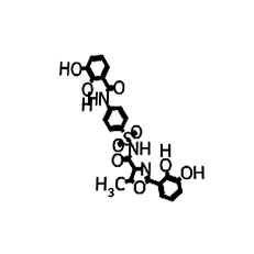 CC1OC(c2cccc(O)c2O)=NC1C(=O)NS(=O)(=O)c1ccc(NC(=O)c2cccc(O)c2O)cc1